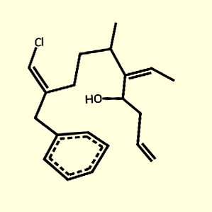 C=CCC(O)/C(=C\C)C(C)CC/C(=C\Cl)Cc1ccccc1